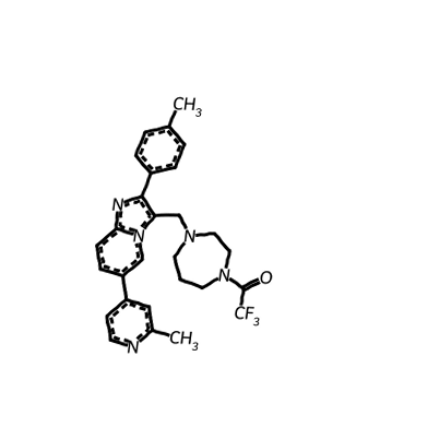 Cc1ccc(-c2nc3ccc(-c4ccnc(C)c4)cn3c2CN2CCCN(C(=O)C(F)(F)F)CC2)cc1